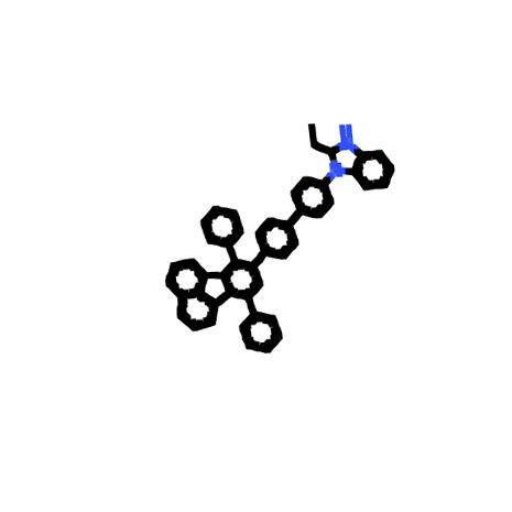 CCC1Nc2ccccc2N1c1ccc(-c2ccc(-c3cc(-c4ccccc4)c4c(c3-c3ccccc3)-c3cccc5cccc-4c35)cc2)cc1